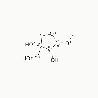 CO[C@H]1OCC(O)(CO)[C@H]1O